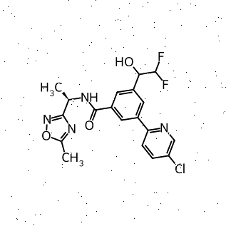 Cc1nc([C@@H](C)NC(=O)c2cc(-c3ccc(Cl)cn3)cc(C(O)C(F)F)c2)no1